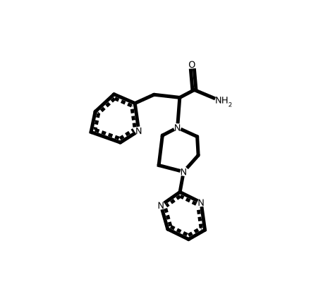 NC(=O)C(Cc1ccccn1)N1CCN(c2ncccn2)CC1